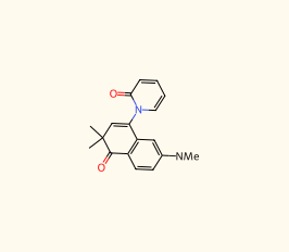 CNc1ccc2c(c1)C(n1ccccc1=O)=CC(C)(C)C2=O